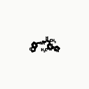 Cc1cc(C(C)NCCNCc2ccc3c(c2)CCO3)nc(-n2ccnc2)n1